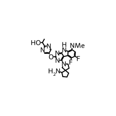 CNc1cc(F)c(F)c2c1[nH]c1nc(Oc3cnc(C(C)O)nc3)nc(N3CCC4(CCCC4N)C3)c12